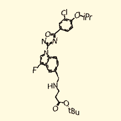 CC(C)Oc1ccc(-c2nc(-n3cc(F)c4cc(CNCCC(=O)OC(C)(C)C)ccc43)no2)cc1Cl